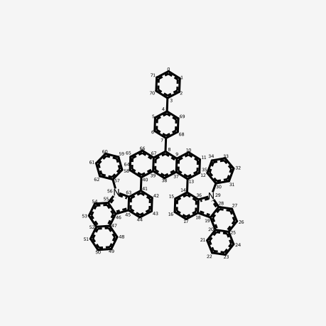 c1ccc(-c2ccc(-c3c4cccc(-c5cccc6c7c8ccccc8ccc7n(-c7ccccc7)c56)c4cc4c(-c5cccc6c7c8ccccc8ccc7n(-c7ccccc7)c56)cccc34)cc2)cc1